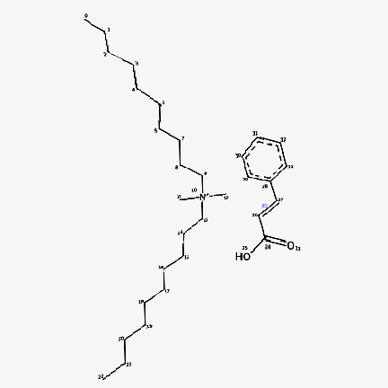 CCCCCCCCCC[N+](C)(C)CCCCCCCCCC.O=C(O)/C=C/c1ccccc1